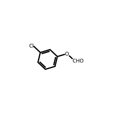 O=COc1cccc(Cl)c1